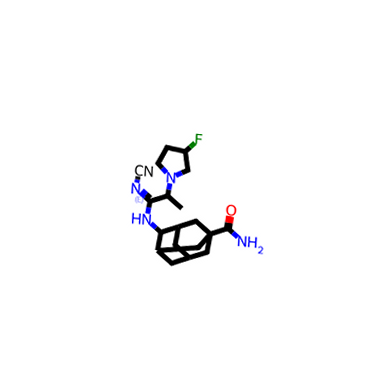 CC(/C(=N\C#N)NC1C2CC3CC1CC(C(N)=O)(C3)C2)N1CCC(F)C1